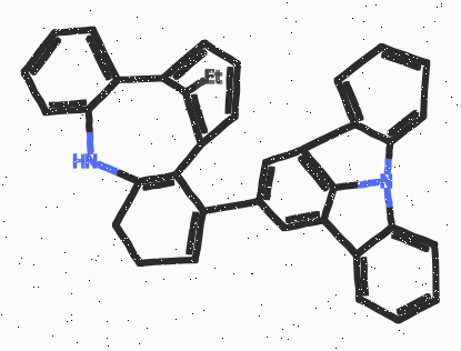 CCc1c2cccc1-c1ccccc1NC1=C2C(c2cc3c4ccccc4n4c5ccccc5c(c2)c34)=CCC1